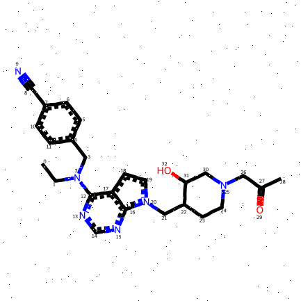 CCN(Cc1ccc(C#N)cc1)c1ncnc2c1ccn2CC1CCN(CC(C)=O)CC1O